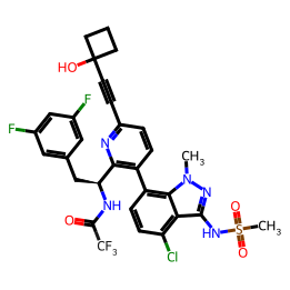 Cn1nc(NS(C)(=O)=O)c2c(Cl)ccc(-c3ccc(C#CC4(O)CCC4)nc3[C@H](Cc3cc(F)cc(F)c3)NC(=O)C(F)(F)F)c21